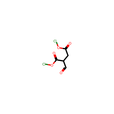 O=CC(CC(=O)OCl)C(=O)OCl